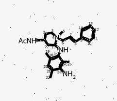 CC(=O)NC1CC[N+](C)(C/C=C/c2ccccc2)C(Nc2c(C)cc(C)c(N)c2C)C1